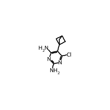 Nc1nc(N)c(C23CC(C2)C3)c(Cl)n1